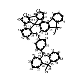 CC1(C)c2ccccc2-c2cc3c(cc21)N(c1ccc(N2c4ccccc4C(C)(C)c4ccccc42)cc1)c1ccccc1C31c2ccoc2-c2occc21